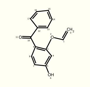 C=COc1cc(O)ccc1C(=O)c1ccccc1